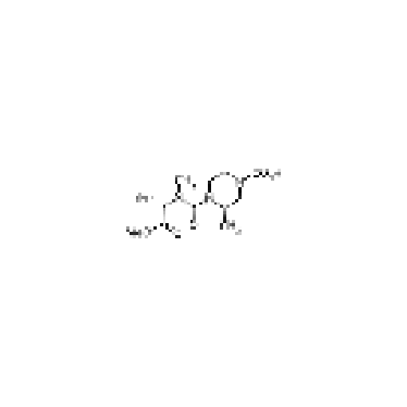 COC(=O)[C@H](C(C)C)N(C)C(=O)N1CCN(C(=O)O)C[C@H]1C